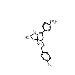 Cl.N#Cc1ccc(CCC(CNc2ccc(C(=O)O)cc2)C2(O)CCNC2)cc1